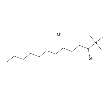 CCCCCCCCCCC(S)[N+](C)(C)C.[Cl-]